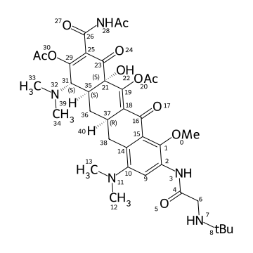 COc1c(NC(=O)CNC(C)(C)C)cc(N(C)C)c2c1C(=O)C1=C(OC(C)=O)[C@]3(O)C(=O)C(C(=O)NC(C)=O)=C(OC(C)=O)[C@@H](N(C)C)[C@@H]3C[C@@H]1C2